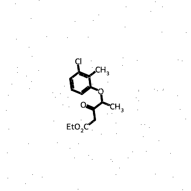 CCOC(=O)CC(=O)C(C)Oc1cccc(Cl)c1C